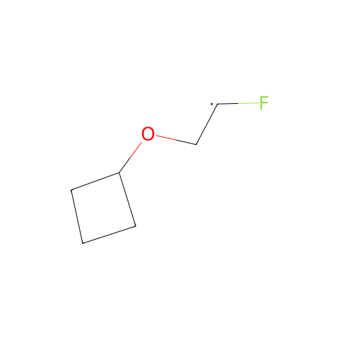 F[CH]COC1CCC1